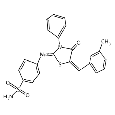 Cc1cccc(C=C2S/C(=N\c3ccc(S(N)(=O)=O)cc3)N(c3ccccc3)C2=O)c1